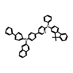 CC1(C)c2ccccc2-c2ccc(N(c3ccccc3)c3ccc(-c4ccc(N(c5ccc(-c6ccccc6)cc5)c5ccc6ccccc6c5)cc4)cn3)cc21